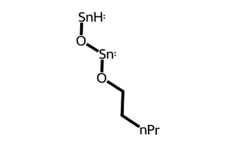 CCCCC[O][Sn][O][SnH]